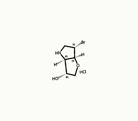 Cl.O[C@H]1CO[C@H]2[C@@H]1NC[C@@H]2Br